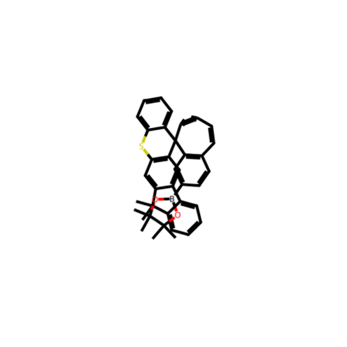 CC1(C)c2ccccc2-c2cc3c(cc21)Sc1ccccc1C31c2ccccc2C=Cc2ccc(B3OC(C)(C)C(C)(C)O3)cc21